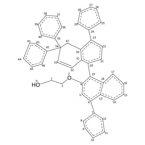 OCCOc1cc(-c2ccccc2)c2ccccc2c1-c1ccc(-c2ccccc2)c2c1C=CC(c1ccccc1)(c1ccccc1)C2